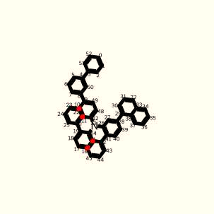 c1ccc(-c2cccc(-c3ccc(N(c4ccccc4-c4ccccc4)c4cc(-c5cccc6ccccc56)ccc4-c4ccccc4)cc3)c2)cc1